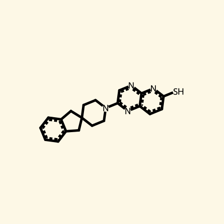 Sc1ccc2nc(N3CCC4(CC3)Cc3ccccc3C4)cnc2n1